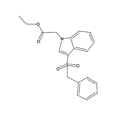 CCOC(=O)Cn1cc(S(=O)(=O)Cc2ccccc2)c2ccccc21